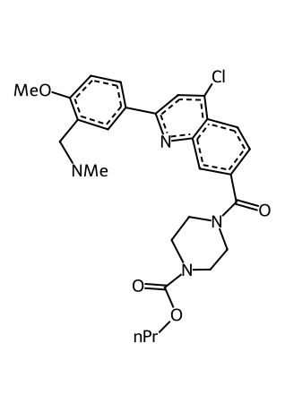 CCCOC(=O)N1CCN(C(=O)c2ccc3c(Cl)cc(-c4ccc(OC)c(CNC)c4)nc3c2)CC1